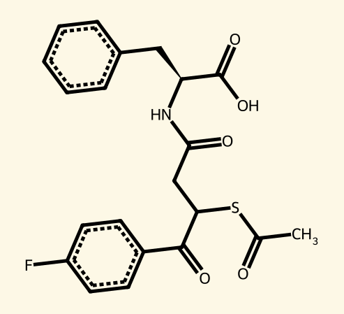 CC(=O)SC(CC(=O)N[C@@H](Cc1ccccc1)C(=O)O)C(=O)c1ccc(F)cc1